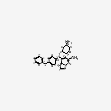 Nc1nn2ccnc2c(Nc2ccc(Cc3ccccc3)cc2)c1[C@H]1CC[C@H](N)CC1